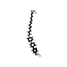 CCCCCCCCCCCCCCC[C@H]1CC[C@H](C2CCC(c3ccc(N)cc3)CC2)CC1